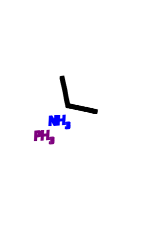 CCC.N.P